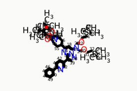 CCCC(C(C)(C)C)C(C)(C)OC1C[C@@H]2CC(c3cc(N(COCC[Si](C)(C)C)COCC[Si](C)(C)C)n4ncc(-c5ccc(-c6ccccc6)nc5)c4n3)CC1N2C(=O)OC(C)(C)C